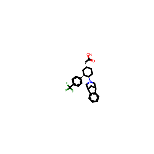 O=C(O)C[C@@H]1CC[C@@H](N2CC3CC(C2)c2ccccc23)[C@H](c2ccc(C(F)(F)F)cc2)C1